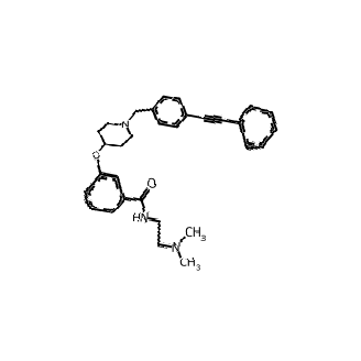 CN(C)CCNC(=O)c1cccc(OC2CCN(Cc3ccc(C#Cc4ccccc4)cc3)CC2)c1